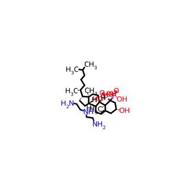 CC(C)CCC[C@@H](C)[C@H]1CC[C@H]2[C@@H]3CC=C4C[C@@H](O)CC(P(=O)(O)O)(P(=O)(O)O)[C@]4(C)[C@H]3CC[C@]12C.NCCNCCN